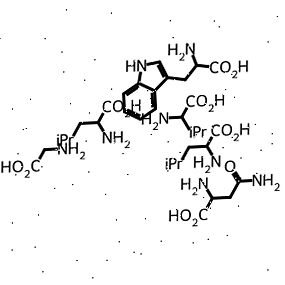 CC(C)C(N)C(=O)O.CC(C)CC(N)C(=O)O.CC(C)CC(N)C(=O)O.NC(=O)CC(N)C(=O)O.NC(Cc1c[nH]c2ccccc12)C(=O)O.NCC(=O)O